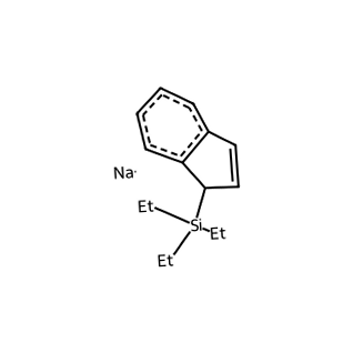 CC[Si](CC)(CC)C1C=Cc2ccccc21.[Na]